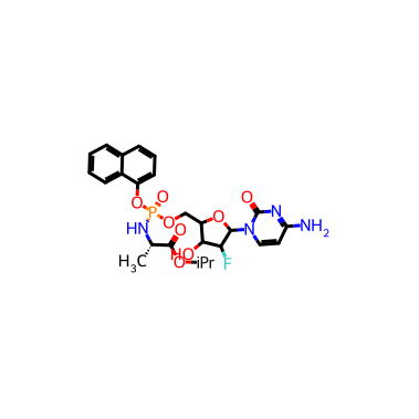 CC(C)OC(=O)[C@H](C)NP(=O)(OCC1OC(n2ccc(N)nc2=O)C(F)C1O)Oc1cccc2ccccc12